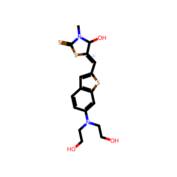 CN1C(=S)S/C(=C\c2cc3ccc(N(CCO)CCO)cc3s2)C1O